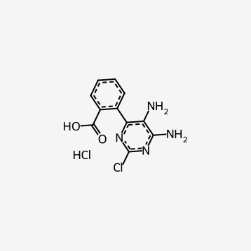 Cl.Nc1nc(Cl)nc(-c2ccccc2C(=O)O)c1N